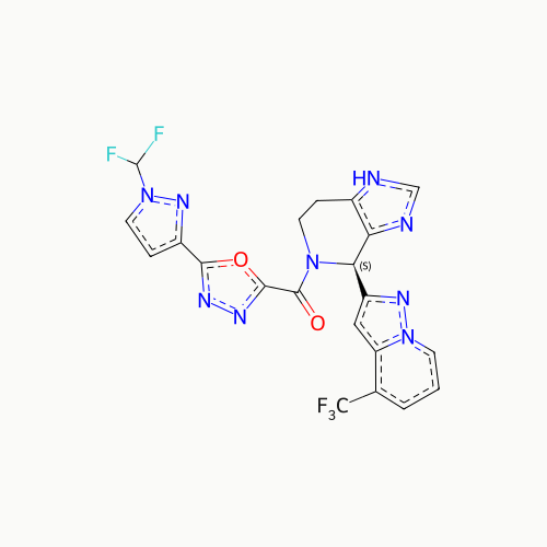 O=C(c1nnc(-c2ccn(C(F)F)n2)o1)N1CCc2[nH]cnc2[C@H]1c1cc2c(C(F)(F)F)cccn2n1